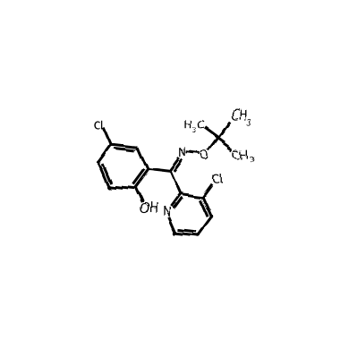 CC(C)(C)ON=C(c1cc(Cl)ccc1O)c1ncccc1Cl